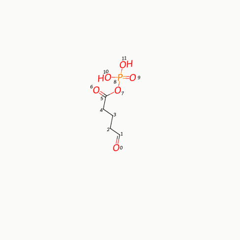 O=CCCCC(=O)OP(=O)(O)O